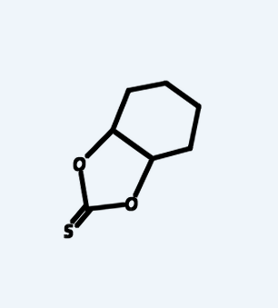 S=C1OC2CCCCC2O1